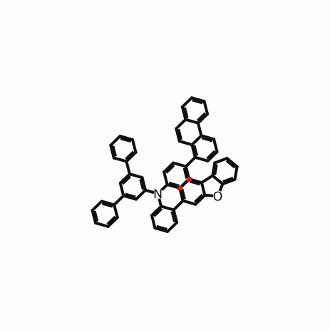 c1ccc(-c2cc(-c3ccccc3)cc(N(c3ccc(-c4cccc5c4ccc4ccccc45)cc3)c3ccccc3-c3ccc4c(c3)oc3ccccc34)c2)cc1